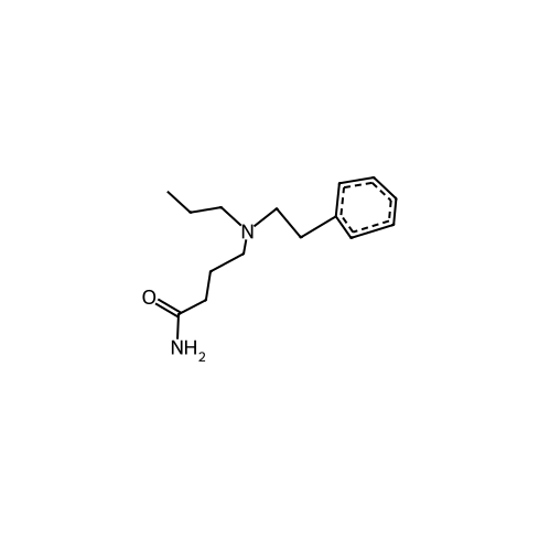 CCCN(CCCC(N)=O)CCc1ccccc1